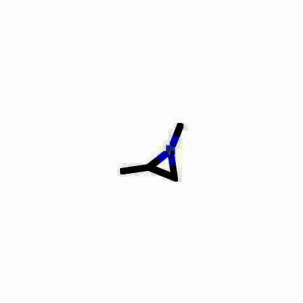 CC1CN1C